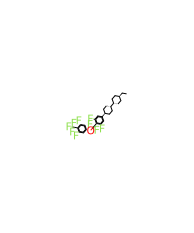 CC[C@H]1CC[C@H]([C@H]2CC[C@H](c3cc(F)c(C(F)(F)Oc4cc(F)c(C(F)(F)F)c(F)c4)c(F)c3)CC2)CC1